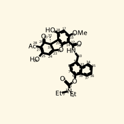 CCN(CC)C(=O)Oc1ccc(CNC(=O)c2c(OC)cc(O)c3c2OC2=CC(O)=C(C(C)=O)C(=O)[C@]23C)c2ccccc12